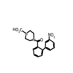 O=C(O)N1CCN(C(=O)c2ccccc2-c2cccc([N+](=O)[O-])c2)CC1